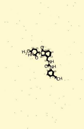 C#Cc1cccc(NC(=O)NCc2cccc3c2CN(C2CCC(=C)NC2=O)C3=O)c1